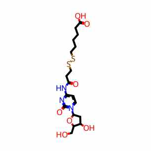 O=C(O)CCCCCSSCCC(=O)Nc1ccn(C2CC(O)C(CO)O2)c(=O)n1